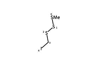 CSSSCI